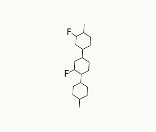 CC1CCC(C2CCC(C3CCC(C)C(F)C3)CC2F)CC1